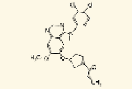 C=CC(=O)N1CCC(Oc2cc3c(Nc4ccc(Cl)c(Cl)c4)ncnc3cc2OC)C1